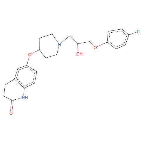 O=C1CCc2cc(OC3CCN(CC(O)COc4ccc(Cl)cc4)CC3)ccc2N1